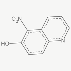 O=[N+]([O-])c1c(O)ccc2ncccc12